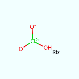 [O-][Cl+2]([O-])O.[Rb]